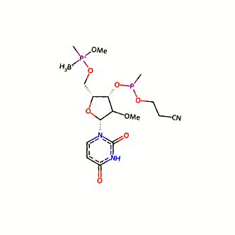 [BH3-][P+](C)(OC)OC[C@H]1O[C@@H](n2ccc(=O)[nH]c2=O)C(OC)[C@H]1OP(C)OCCC#N